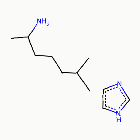 CC(C)CCCC(C)N.c1c[nH]cn1